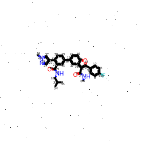 CNC(=O)c1c(-c2ccc(F)cc2)oc2ccc(-c3ccc(-c4cnn(C)c4)c(C(=O)NCC(C)C)c3)cc12